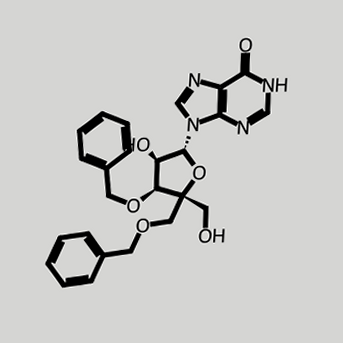 O=c1[nH]cnc2c1ncn2[C@@H]1O[C@](CO)(COCc2ccccc2)[C@@H](OCc2ccccc2)[C@H]1O